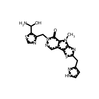 Cn1c2nc(Cc3cc[nH]n3)sc2c2cnn(Cc3ncsc3C(N)O)c(=O)c21